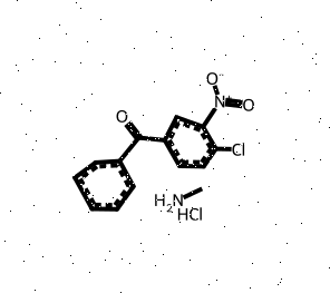 CN.Cl.O=C(c1ccccc1)c1ccc(Cl)c([N+](=O)[O-])c1